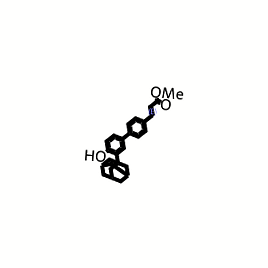 COC(=O)/C=C/c1ccc(-c2ccc(O)c(C34CC5CC(CC(C5)C3)C4)c2)cc1